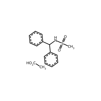 CC(=O)O.CS(=O)(=O)NC(c1ccccc1)c1ccccc1